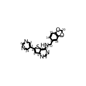 c1ncc(-c2cc3ncnc(NCc4ccc5c(c4)OCO5)c3s2)cn1